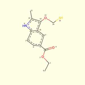 CCOC(=O)c1ccc2[nH]c(C)c(OCS)c2c1